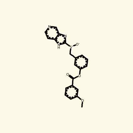 COc1cccc(C(=O)Oc2cccc(C[S+]([O-])c3nc4cnccc4[nH]3)c2)c1